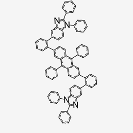 c1ccc(-c2c3ccc(-c4ccccc4-c4ccc5c(c4)nc(-c4ccccc4)n5-c4ccccc4)cc3c(-c3ccccc3)c3ccc(-c4ccccc4-c4ccc5c(c4)nc(-c4ccccc4)n5-c4ccccc4)cc23)cc1